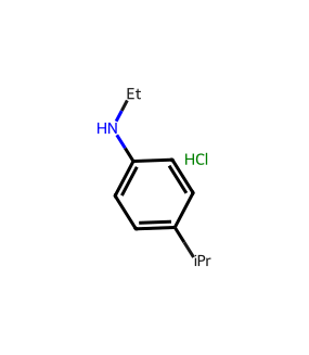 CCNc1ccc(C(C)C)cc1.Cl